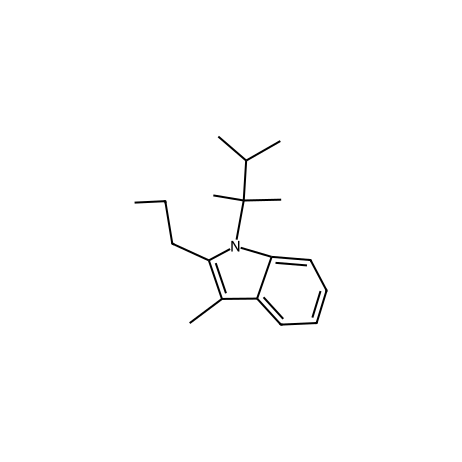 CCCc1c(C)c2ccccc2n1C(C)(C)C(C)C